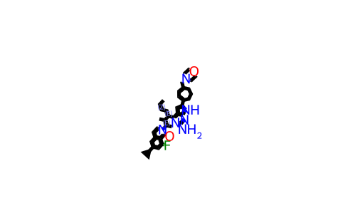 C\C=C/C=C(\C(C)=C(/C)n1ccc2cc(C3CC3)cc(F)c2c1=O)c1nc(N)nc2[nH]c(C3=CC=C(CN4CCOCC4)CCC3)cc12